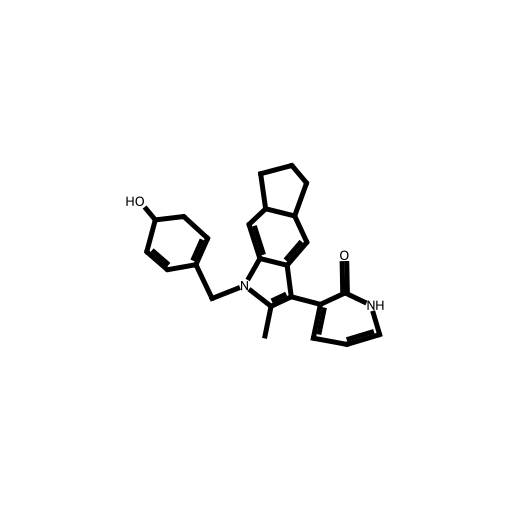 Cc1c(-c2ccc[nH]c2=O)c2c(n1CC1=CCC(O)C=C1)=CC1CCCC1C=2